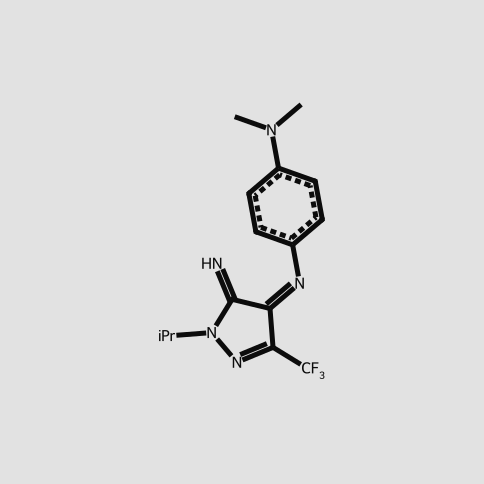 CC(C)N1N=C(C(F)(F)F)C(=Nc2ccc(N(C)C)cc2)C1=N